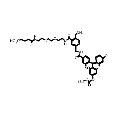 CC(C)(C)OC(=O)Oc1ccc2c(-c3ccc(C(=O)NCc4ccc(CN)c(C(=O)NCCOCCOCCNC(=O)CCCC(=O)O)c4)cc3S(=O)(=O)O)c3ccc(=O)cc-3oc2c1